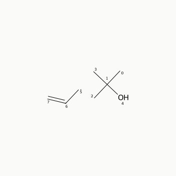 CC(C)(C)O.[CH2]C=C